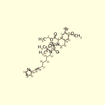 CCOC(=O)C1c2cc(Br)c(OC)cc2CCN1C(=O)C(=O)N(CCCCCC#Cc1cscn1)C(C)(C)C